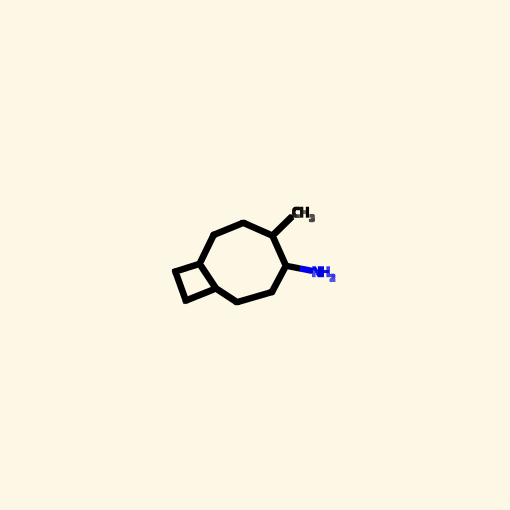 CC1CCC2CCC2CCC1N